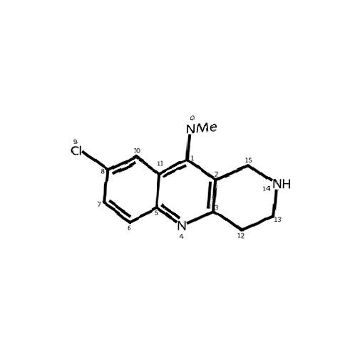 CNc1c2c(nc3ccc(Cl)cc13)CCNC2